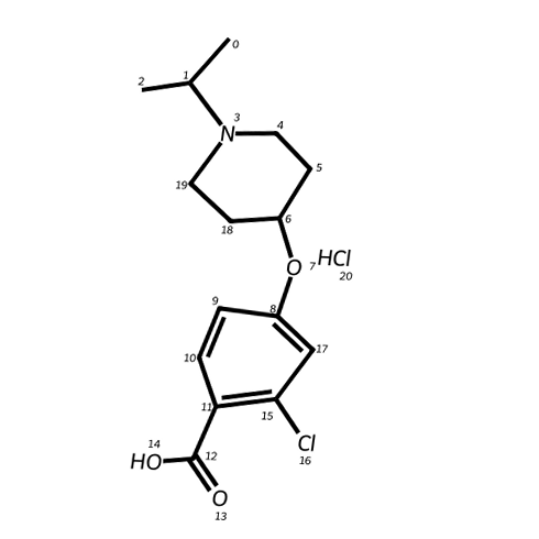 CC(C)N1CCC(Oc2ccc(C(=O)O)c(Cl)c2)CC1.Cl